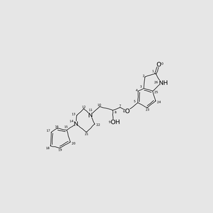 O=C1Cc2cc(OCC(O)CN3CCN(c4ccccc4)CC3)ccc2N1